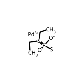 CCS(CC)=P([O-])([O-])[S-].[Pd+3]